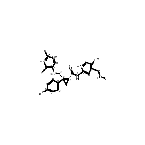 COCc1cc(NC(=O)[C@@H]2C[C@@]2(COc2cnc(C)nc2C)c2ccc(F)cc2)ncc1F